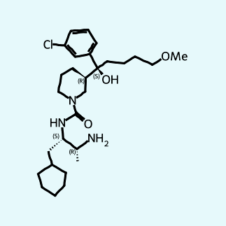 COCCCC[C@@](O)(c1cccc(Cl)c1)[C@@H]1CCCN(C(=O)N[C@@H](CC2CCCCC2)[C@@H](C)N)C1